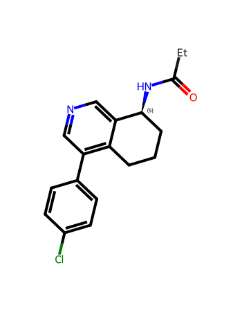 CCC(=O)N[C@H]1CCCc2c(-c3ccc(Cl)cc3)cncc21